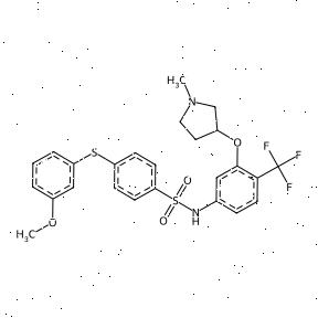 COc1cccc(Sc2ccc(S(=O)(=O)Nc3ccc(C(F)(F)F)c(OC4CCN(C)C4)c3)cc2)c1